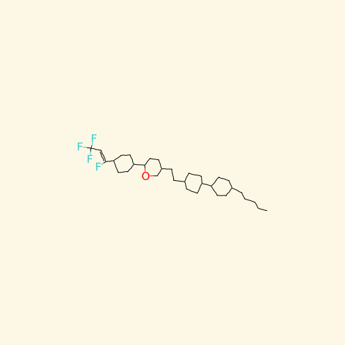 CCCCCC1CCC(C2CCC(CCC3CCC(C4CCC(/C(F)=C/C(F)(F)F)CC4)OC3)CC2)CC1